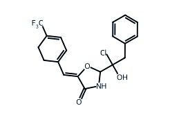 O=C1NC(C(O)(Cl)Cc2ccccc2)O/C1=C\C1=CC=C(C(F)(F)F)CC1